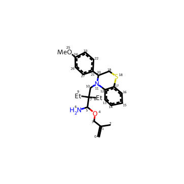 C=C(C)COC(N)C(CC)(CC)CN1c2ccccc2SCC1c1ccc(OC)cc1